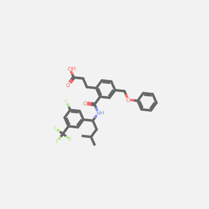 CC(C)CC(NC(=O)c1cc(COc2ccccc2)ccc1CCC(=O)O)c1cc(F)cc(C(F)(F)F)c1